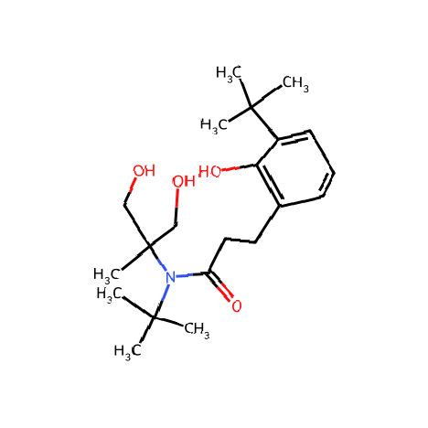 CC(C)(C)c1cccc(CCC(=O)N(C(C)(C)C)C(C)(CO)CO)c1O